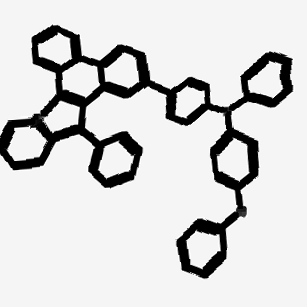 c1ccc(Oc2ccc(N(c3ccccc3)c3ccc(-c4ccc5c6ccccc6c6c(c(-c7ccccc7)c7ccccn76)c5c4)cc3)cc2)cc1